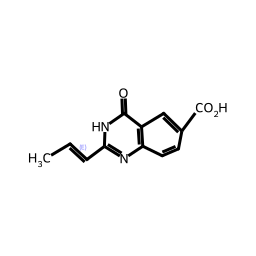 C/C=C/c1nc2ccc(C(=O)O)cc2c(=O)[nH]1